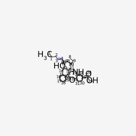 CCC/C=C/[C@H](O)[C@@H]1CC[C@@H]1CC1CCc2ccccc2C12CNc1cc(C(=O)O)ccc1OC2